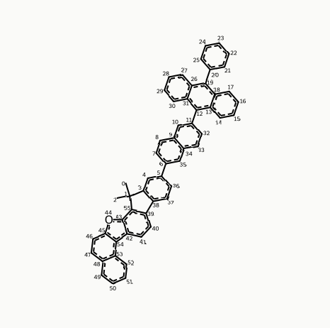 CC1(C)c2cc(-c3ccc4cc(-c5c6ccccc6c(-c6ccccc6)c6ccccc56)ccc4c3)ccc2-c2ccc3c(oc4ccc5ccccc5c43)c21